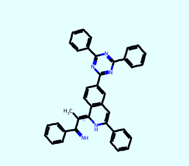 C/C(C(=N)c1ccccc1)=C1/NC(c2ccccc2)=Cc2cc(-c3nc(-c4ccccc4)nc(-c4ccccc4)n3)ccc21